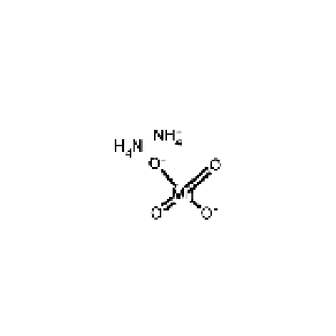 [NH4+].[NH4+].[O]=[Mn](=[O])([O-])[O-]